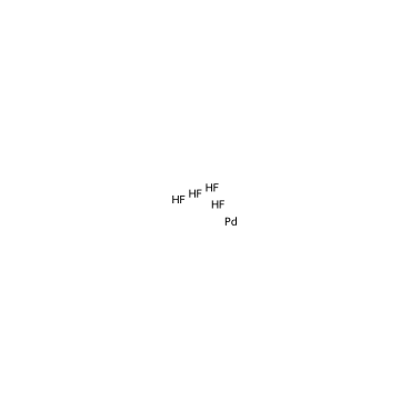 F.F.F.F.[Pd]